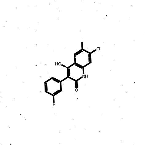 O=c1[nH]c2cc(Cl)c(I)cc2c(O)c1-c1cccc(F)c1